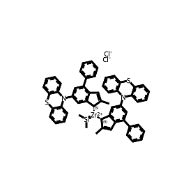 CC1=Cc2c(-c3ccccc3)cc(N3c4ccccc4Sc4ccccc43)cc2[C@@H]1[Zr+2]([C@H]1C(C)=Cc2c(-c3ccccc3)cc(N3c4ccccc4Sc4ccccc43)cc21)=[Si](C)C.[Cl-].[Cl-]